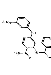 CC(=O)Nc1cccc(Nc2ncc(C(N)=O)c(NC(CO)c3ccccc3)n2)c1